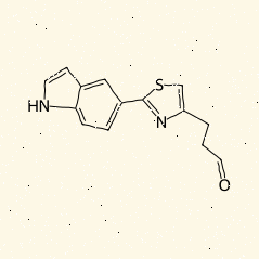 O=CCCc1csc(-c2ccc3[nH]ccc3c2)n1